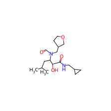 CC(C)CC(C(O)C(=O)NCC1CC1)N(C=O)CC1CCOC1